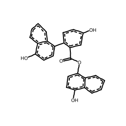 O=C(Oc1ccc(O)c2ccccc12)c1cc(O)ccc1-c1ccc(O)c2ccccc12